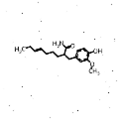 CCC=CCCCC(Cc1ccc(O)c(OC)c1)C(N)=O